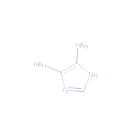 CCCCc1n[c][nH]c1CCCC